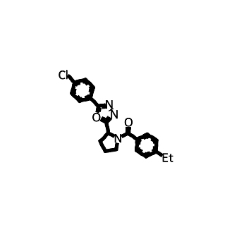 CCc1ccc(C(=O)N2CCCC2c2nnc(-c3ccc(Cl)cc3)o2)cc1